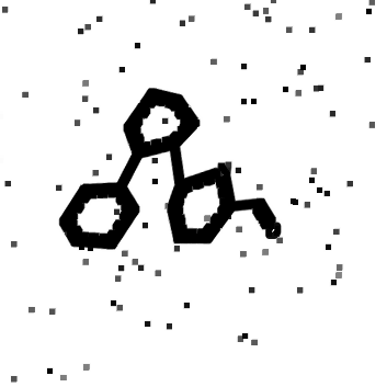 O=Cc1cccc(-c2ccccc2-c2ccccc2)n1